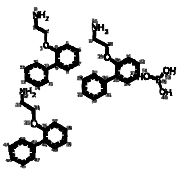 NCCOc1ccccc1-c1ccccc1.NCCOc1ccccc1-c1ccccc1.NCCOc1ccccc1-c1ccccc1.OB(O)O